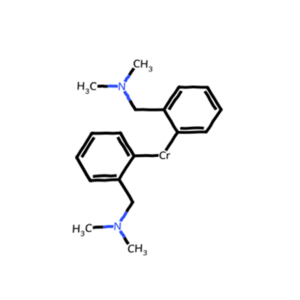 CN(C)Cc1cccc[c]1[Cr][c]1ccccc1CN(C)C